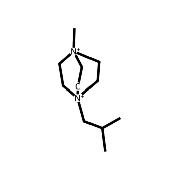 CC(C)C[N+]12CC[N+](C)(CC1)CC2